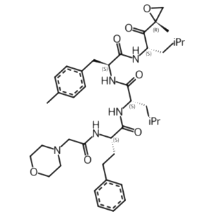 Cc1ccc(C[C@H](NC(=O)[C@H](CC(C)C)NC(=O)[C@H](CCc2ccccc2)NC(=O)CN2CCOCC2)C(=O)N[C@@H](CC(C)C)C(=O)[C@@]2(C)CO2)cc1